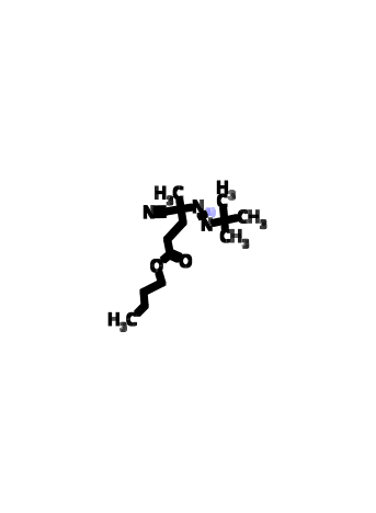 CCCCOC(=O)CCC(C)(C#N)/N=N/C(C)(C)C